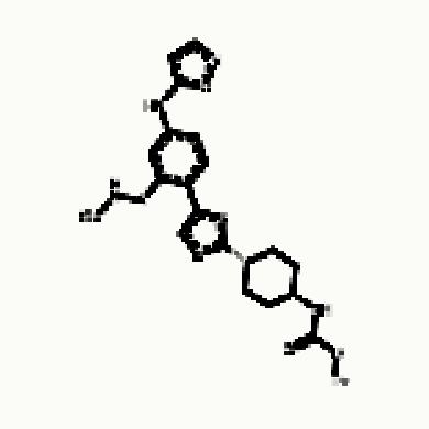 CC(C)OC(=O)N[C@H]1CC[C@H](c2ncc(-c3ccc(Nc4ccno4)cc3SNC(C)(C)C)s2)CC1